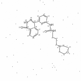 O=C(NCCCN1CCOCC1)Nc1cccc(-c2n[nH]c(=O)c3ccccc23)c1